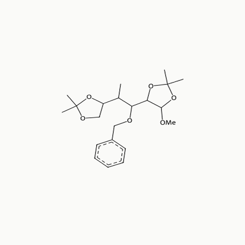 COC1OC(C)(C)OC1C(OCc1ccccc1)C(C)C1COC(C)(C)O1